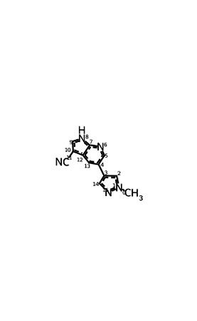 Cn1cc(-c2cnc3[nH]cc(C#N)c3c2)cn1